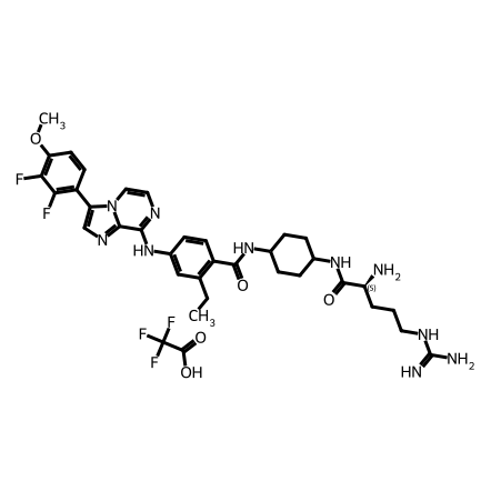 CCc1cc(Nc2nccn3c(-c4ccc(OC)c(F)c4F)cnc23)ccc1C(=O)NC1CCC(NC(=O)[C@@H](N)CCCNC(=N)N)CC1.O=C(O)C(F)(F)F